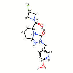 COc1ccc(Cn2nc3n(c2=O)C(C(=O)N2CC(F)C2)CCC3)cn1